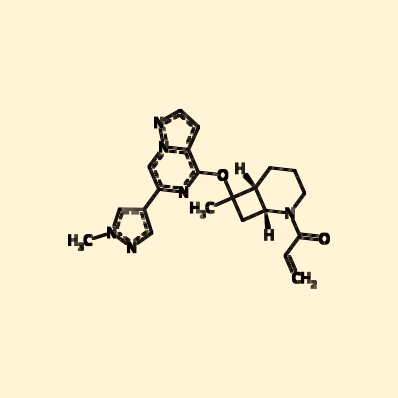 C=CC(=O)N1CCC[C@@H]2[C@H]1CC2(C)Oc1nc(-c2cnn(C)c2)cn2nccc12